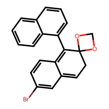 Brc1ccc2c(c1)=CCC1(OCO1)C=2c1cccc2ccccc12